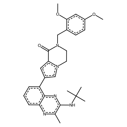 COc1ccc(CN2CCn3cc(-c4cccc5nc(C)c(NC(C)(C)C)nc45)cc3C2=O)c(OC)c1